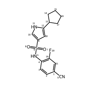 N#Cc1ccc(NS(=O)(=O)c2c[nH]c(C3CCCC3)c2)c(F)c1